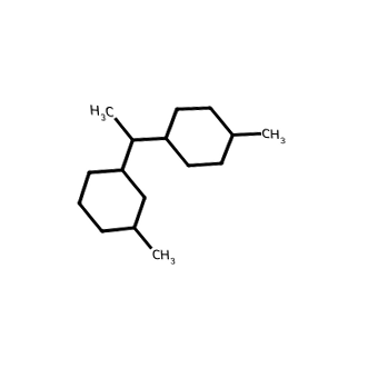 CC1CCC(C(C)C2CCCC(C)C2)CC1